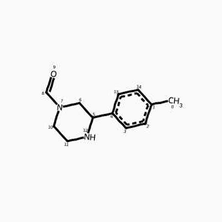 Cc1ccc(C2CN(C=O)CCN2)cc1